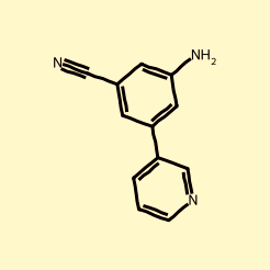 N#Cc1cc(N)cc(-c2cccnc2)c1